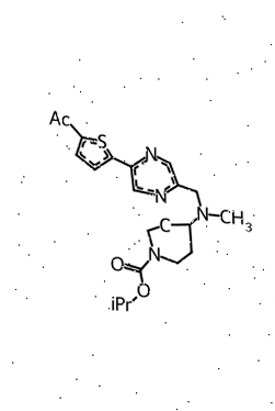 CC(=O)c1ccc(-c2cnc(CN(C)C3CCN(C(=O)OC(C)C)CC3)cn2)s1